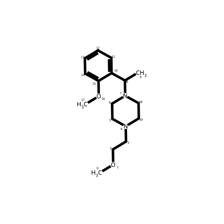 COCCN1CCN(C(C)c2ccccc2OC)CC1